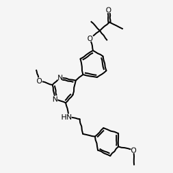 COc1ccc(CCNc2cc(-c3cccc(OC(C)(C)C(C)=O)c3)nc(OC)n2)cc1